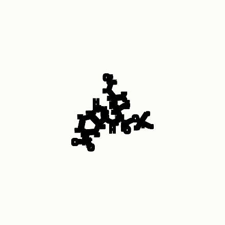 CC(C)(C)OC(=O)N(Nc1n[nH]c2ccc([N+](=O)[O-])cc12)c1nc(CC=O)cs1